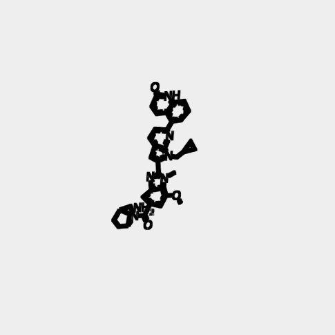 COc1cc(C(=O)N2CC3CCC2C3N)cc2nc(-c3cc4ccc(-c5cccc6[nH]c(=O)ccc56)nc4n3CC3CC3)n(C)c12